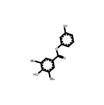 CC(C)(C)c1cc(C(=O)Oc2cccc(S)c2)cc(C(C)(C)C)c1O